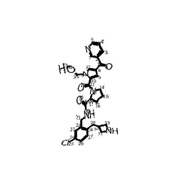 O=C(c1cccnc1)c1cc(C(=O)N2CCC[C@H]2C(=O)NCc2cc(Cl)ccc2CC2CNC2)n(CO)c1